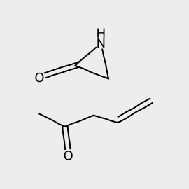 C=CCC(C)=O.O=C1CN1